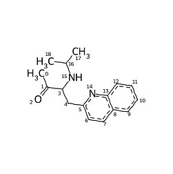 CC(=O)C(Cc1ccc2ccccc2n1)NC(C)C